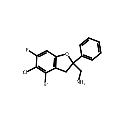 NCC1(c2ccccc2)Cc2c(cc(F)c(Cl)c2Br)O1